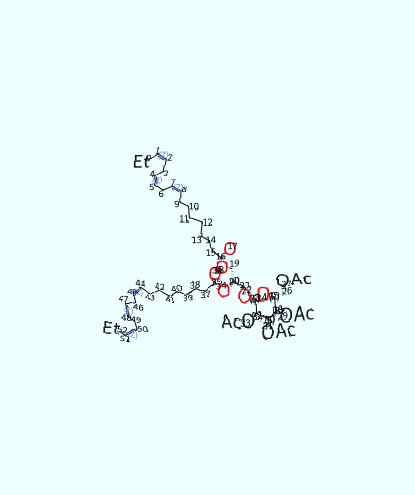 CC/C=C\C/C=C\C/C=C\CCCCCCCC(=O)OC[C@H](CO[C@H]1O[C@H](COC(C)=O)[C@@H](OC(C)=O)[C@H](OC(C)=O)[C@@H]1OC(C)=O)OC(=O)CCCCCCC/C=C\C/C=C\C/C=C\CC